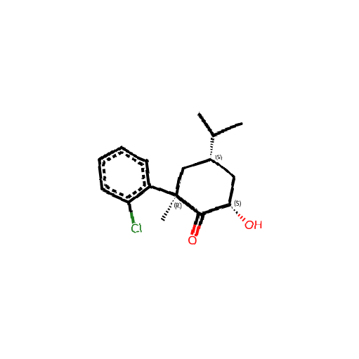 CC(C)[C@@H]1C[C@H](O)C(=O)[C@@](C)(c2ccccc2Cl)C1